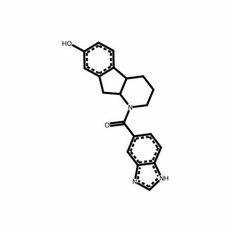 O=C(c1ccc2[nH]cnc2c1)N1CCCC2c3ccc(O)cc3CC21